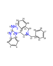 Nc1nc2ccccc2n1CCN(Cc1ccccc1)Cc1ccccc1